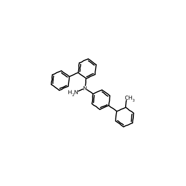 CC1C=CC=CC1c1ccc(N(N)c2ccccc2-c2ccccc2)cc1